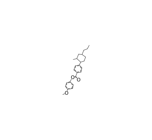 CCCC1CCC(c2ccc(C(=O)Oc3ccc(OC)cc3)cc2)C(C)C1